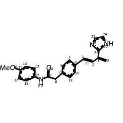 C=C(/C=C/c1ccc(CC(=O)Nc2ccc(OC)cc2)cc1)c1ncc[nH]1